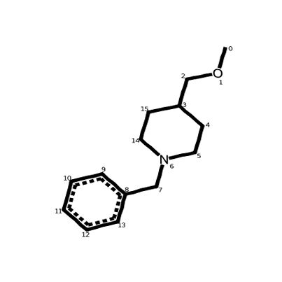 COCC1CCN(Cc2ccccc2)CC1